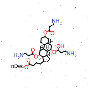 CCCCCCCCCCOC(=O)CC[C@@H](C)[C@H]1CC[C@H]2[C@@H]3[C@H](OC(O)CCN)C[C@@H]4C[C@H](OC(=O)CCN)CC[C@]4(C)[C@H]3C[C@H](OC(=O)CCN)[C@]12C